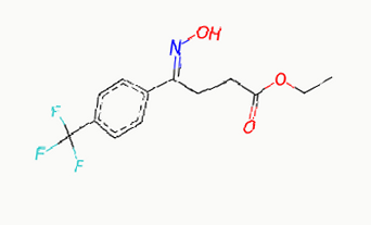 CCOC(=O)CCC(=NO)c1ccc(C(F)(F)F)cc1